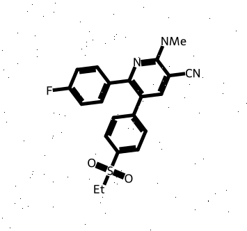 CCS(=O)(=O)c1ccc(-c2cc(C#N)c(NC)nc2-c2ccc(F)cc2)cc1